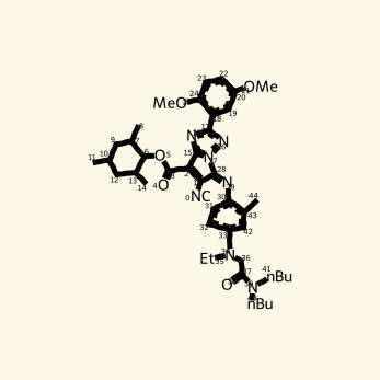 [C-]#[N+]C1=C(C(=O)OC2C(C)CC(C)CC2C)c2nc(-c3cc(OC)ccc3OC)nn2/C1=N/c1ccc(N(CC)CC(=O)N(CCCC)CCCC)cc1C